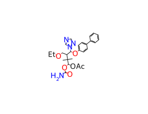 CCOCC(C(Oc1ccc(-c2ccccc2)cc1)n1cncn1)C(C)(C)C(OC(C)=O)OC(N)=O